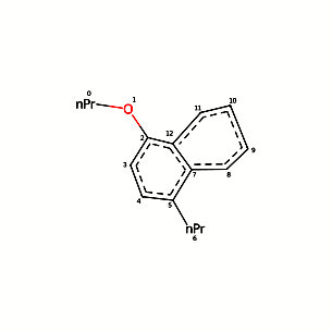 CCCOc1ccc(CCC)c2ccccc12